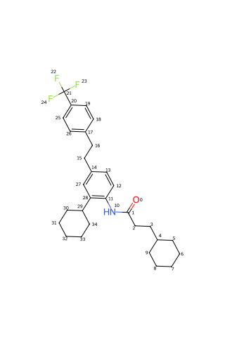 O=C(CCC1CCCCC1)Nc1ccc(CCc2ccc(C(F)(F)F)cc2)cc1C1CCCCC1